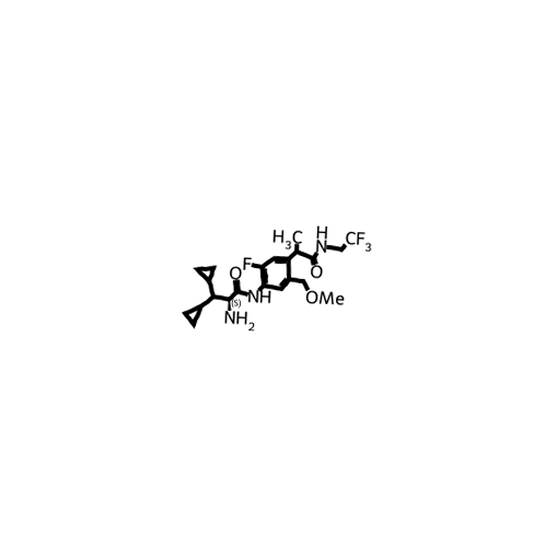 COCc1cc(NC(=O)[C@@H](N)C(C2CC2)C2CC2)c(F)cc1C(C)C(=O)NCC(F)(F)F